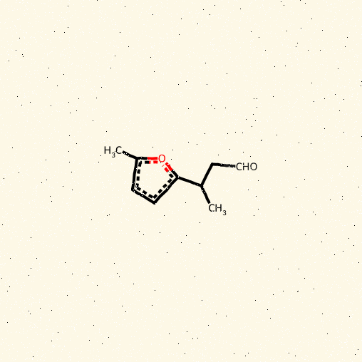 Cc1ccc(C(C)CC=O)o1